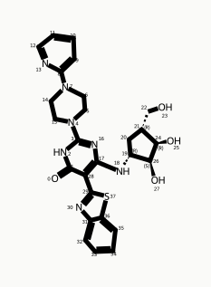 O=c1[nH]c(N2CCN(c3ccccn3)CC2)nc(N[C@@H]2C[C@H](CO)[C@@H](O)[C@H]2O)c1-c1nc2ccccc2s1